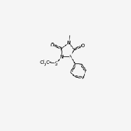 Cn1c(=O)n(SC(Cl)(Cl)Cl)n(-c2ccccc2)c1=O